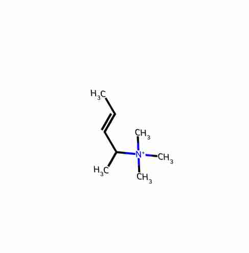 CC=CC(C)[N+](C)(C)C